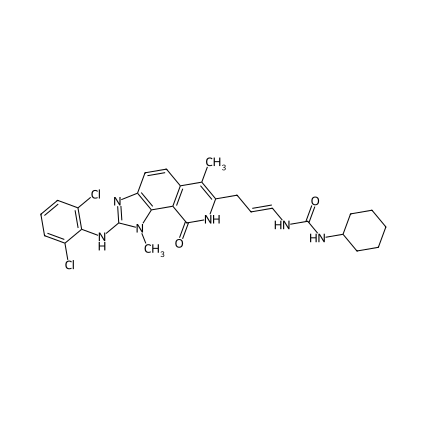 Cc1c(CC=CNC(=O)NC2CCCCC2)[nH]c(=O)c2c1ccc1nc(Nc3c(Cl)cccc3Cl)n(C)c12